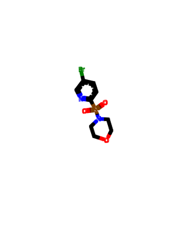 O=S(=O)(c1ccc(Br)cn1)N1CCOCC1